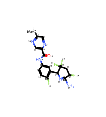 COc1cnc(C(=O)Nc2ccc(F)c(C3N=C(N)C(F)CC3(F)F)c2)cn1